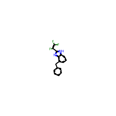 FC(F)=C(F)c1nc2c(Cc3ccccc3)cccc2[nH]1